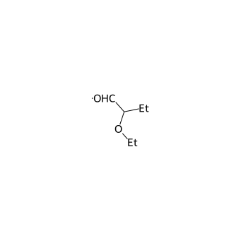 CCOC([C]=O)CC